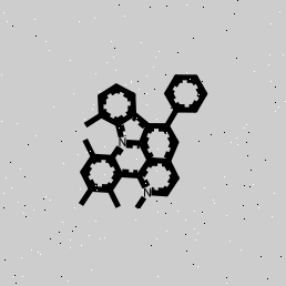 Cc1cc(C)c2c(c1C)c1c3c(cc[n+]1C)cc(-c1ccccc1)c1c4cccc(C)c4n2c13